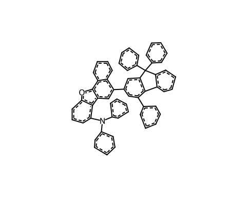 c1ccc(-c2cc(-c3cc4c(oc5cccc(N(c6ccccc6)c6ccccc6)c54)c4ccccc34)cc3c2-c2ccccc2C3(c2ccccc2)c2ccccc2)cc1